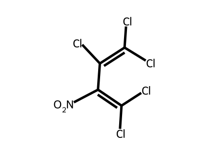 O=[N+]([O-])C(=C(Cl)Cl)C(Cl)=C(Cl)Cl